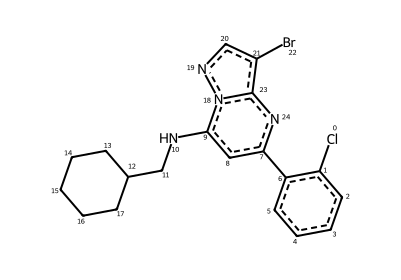 Clc1ccccc1-c1cc(NCC2CCCCC2)n2ncc(Br)c2n1